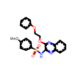 COc1ccc(S(=O)(=O)Nc2nc3ccccc3nc2OCCOc2ccccc2)cc1